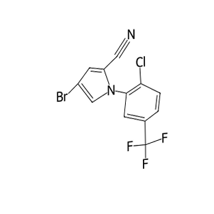 N#Cc1cc(Br)cn1-c1cc(C(F)(F)F)ccc1Cl